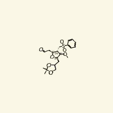 CO[C@@H]1[C@@H](CS(=O)(=O)c2ccccc2)[C@H](CC=O)O[C@@H]1CC1COC(C)(C)O1